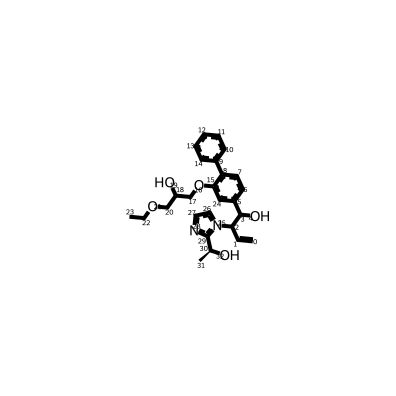 C=CC(C(O)c1ccc(-c2ccccc2)c(OCC(O)COCC)c1)n1ccnc1[C@H](C)O